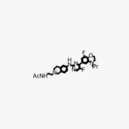 CC(=O)NCCN1CCc2cc(Nc3ncc(F)c(-c4cc(F)c5c(c4)N(C(C)C)CCO5)n3)ccc2C1